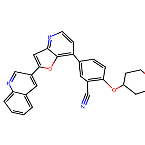 N#Cc1cc(-c2ccnc3cc(-c4cnc5ccccc5c4)oc23)ccc1OC1CCOCC1